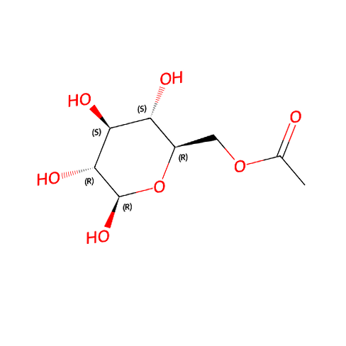 CC(=O)OC[C@H]1O[C@@H](O)[C@H](O)[C@@H](O)[C@@H]1O